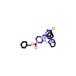 Nc1nnc(Cl)cc1N1CC2CCC(C1)N2c1cccc(CN2CCN(C(=O)OCc3ccccc3)CC2)c1